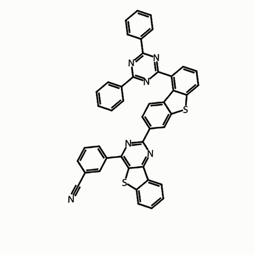 N#Cc1cccc(-c2nc(-c3ccc4c(c3)sc3cccc(-c5nc(-c6ccccc6)nc(-c6ccccc6)n5)c34)nc3c2sc2ccccc23)c1